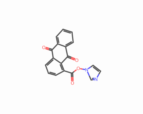 O=C(On1ccnc1)c1cccc2c1C(=O)c1ccccc1C2=O